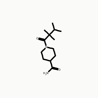 CC(C)C(C)(C)C(=O)N1CCC(C(N)=O)CC1